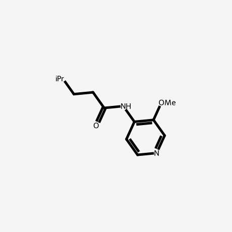 COc1cnccc1NC(=O)CCC(C)C